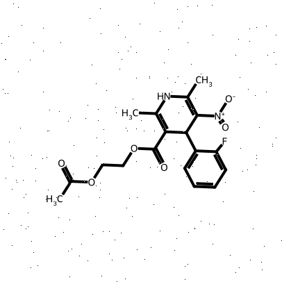 CC(=O)OCCOC(=O)C1=C(C)NC(C)=C([N+](=O)[O-])C1c1ccccc1F